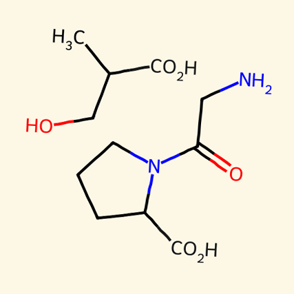 CC(CO)C(=O)O.NCC(=O)N1CCCC1C(=O)O